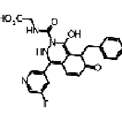 O=C(O)CNC(=O)N1NC(c2cncc(F)c2)=C2C=CC(=O)C(Cc3ccccc3)C2=C1O